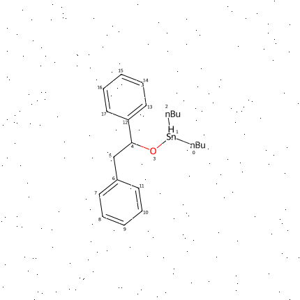 CCC[CH2][SnH]([CH2]CCC)[O]C(Cc1ccccc1)c1ccccc1